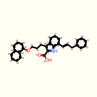 O=C(O)c1[nH]c2c(/C=C/Cc3ccccc3)cccc2c1CCCOc1cccc2ccccc12